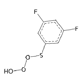 OOOSc1cc(F)cc(F)c1